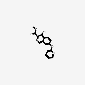 COC(=O)c1ncc2cc(Oc3ccccn3)ccc2c1O